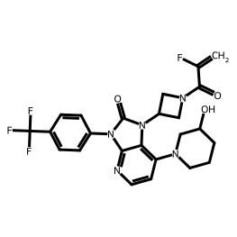 C=C(F)C(=O)N1CC(n2c(=O)n(-c3ccc(C(F)(F)F)cc3)c3nccc(N4CCCC(O)C4)c32)C1